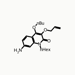 C=CCOc1c(OCCCC)c2ccc(N)cc2n(CCCCCC)c1=O